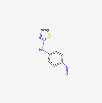 O=Nc1ccc(Nc2nccs2)cc1